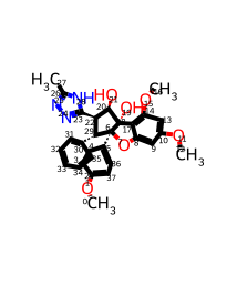 COc1ccc([C@@]23Oc4cc(OC)cc(OC)c4[C@]2(O)[C@H](O)[C@H](c2nnc(C)[nH]2)[C@H]3c2ccccc2)cc1